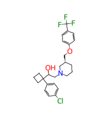 O[C@@H](CN1CCC[C@H](COc2ccc(C(F)(F)F)cc2)C1)C1(c2ccc(Cl)cc2)CCC1